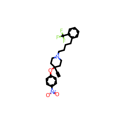 C#CC1(Oc2ccc([N+](=O)[O-])cc2)CCN(CCCCc2ccccc2C(F)(F)F)CC1